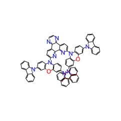 c1ccc2c(c1)c1ccccc1n2-c1ccc2c(c1)Oc1cc(-n3c4ccccc4c4ccccc43)ccc1N2c1ccc2c3nccnc3c3ccc(N4c5ccc(-n6c7ccccc7c7ccccc76)cc5Oc5cc(-n6c7ccccc7c7ccccc76)ccc54)nc3c2n1